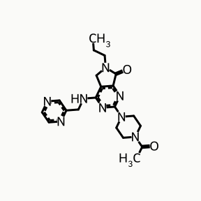 CCCN1Cc2c(NCc3cnccn3)nc(N3CCN(C(C)=O)CC3)nc2C1=O